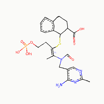 C/C(=C(\CCOP(=O)(O)O)SC1c2ccccc2CCC1C(=O)O)N(C=O)Cc1cnc(C)nc1N